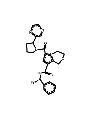 CC[C@@H](NC(=O)c1cc(C(=O)N2CCCC2c2cnccn2)n2c1COCC2)c1ccccc1